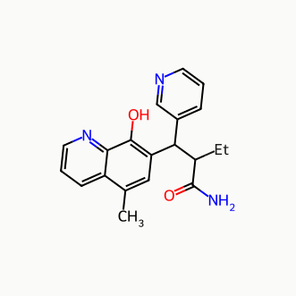 CCC(C(N)=O)C(c1cccnc1)c1cc(C)c2cccnc2c1O